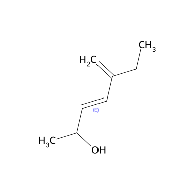 C=C(/C=C/C(C)O)CC